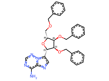 Nc1ncnn2c([C@@H]3O[C@H](COCc4ccccc4)[C@@H](OCc4ccccc4)[C@H]3OCc3ccccc3)cnc12